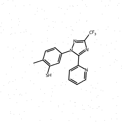 Cc1ccc(-n2nc(C(F)(F)F)nc2-c2ccccn2)cc1S